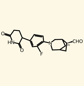 O=C[C@H]1CC2CC1CN(c1ccc(C3CCC(=O)NC3=O)cc1F)C2